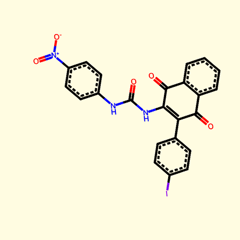 O=C(NC1=C(c2ccc(I)cc2)C(=O)c2ccccc2C1=O)Nc1ccc([N+](=O)[O-])cc1